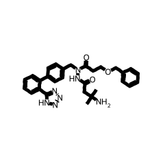 CC(C)(N)CC(=O)NN(Cc1ccc(-c2ccccc2-c2nnn[nH]2)cc1)C(=O)CCOCc1ccccc1